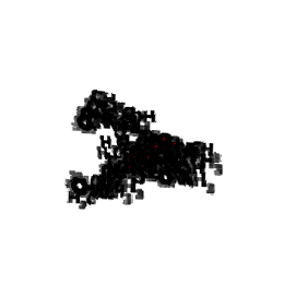 CC[C@H](C)[C@@H](C(CC(=O)N1CCC[C@H]1[C@H](OC)[C@@H](C)C(=O)N[C@H](C)[C@@H](O)c1ccccc1)OC)N(C)C(=O)[C@@H](NC(=O)[C@H](C(C)C)N(C)C(=O)OCc1ccc(NC(=O)[C@H](C)NC(=O)[C@@H](NC(=O)CCOCCOCCNC(=O)[C@H](CS(=O)(=O)O)NC(=O)CCn2c(CN(C)NC)cc3cccnc32)C(C)C)c(O[C@@H]2O[C@H](C(=O)O)[C@@H](O)[C@H](O)[C@H]2O)c1)C(C)C